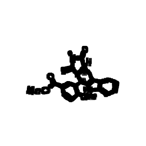 COC(=O)c1ccc(OC)c([C@@H]2c3[nH]c4ccccc4c3C[C@H]3C(=O)N(C)C(=S)N23)c1